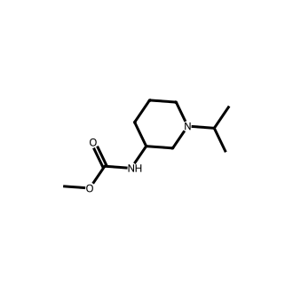 COC(=O)NC1CCCN(C(C)C)C1